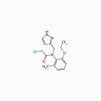 Cc1cccc(OCC(F)(F)F)c1N(Cc1cc[nH]n1)C(=O)CCl